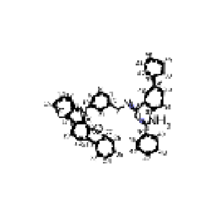 N/C(=N\C(=N/Cc1cccc(-n2c3ccccc3c3ccc4c5ccccc5oc4c32)c1)c1cccc(-c2ccccc2)c1)c1ccccc1